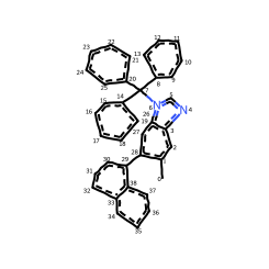 Cc1cc2ncn(C(c3ccccc3)(c3ccccc3)c3ccccc3)c2cc1-c1cccc2ccccc12